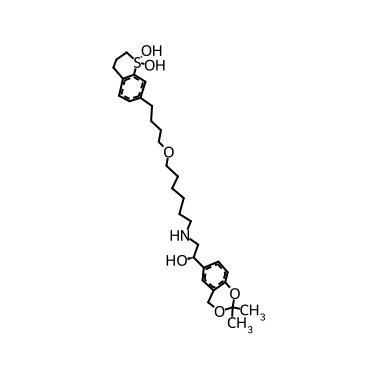 CC1(C)OCc2cc([C@@H](O)CNCCCCCCOCCCCc3ccc4c(c3)S(O)(O)CCC4)ccc2O1